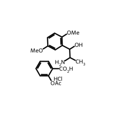 CC(=O)Oc1ccccc1C(=O)O.COc1ccc(OC)c(C(O)C(C)N)c1.Cl